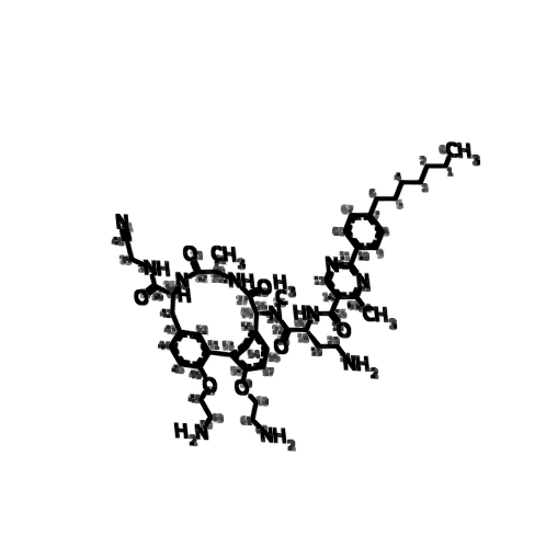 CCCCCCCc1ccc(-c2ncc(C(=O)N[C@@H](CCN)C(=O)N(C)[C@@H]3C(=O)N[C@@H](C)C(=O)N[C@H](C(=O)NCC#N)Cc4ccc(OCCN)c(c4)-c4cc3ccc4OCCN)c(C)n2)cc1